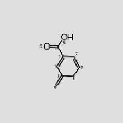 C=C1C=C(C(=O)O)C=CC1